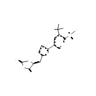 N=C1NC(=O)/C(=C/c2ccc(-c3ccc(S(N)(=O)=O)c(C(F)(F)F)c3)o2)S1